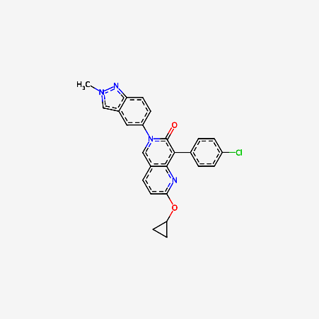 Cn1cc2cc(-n3cc4ccc(OC5CC5)nc4c(-c4ccc(Cl)cc4)c3=O)ccc2n1